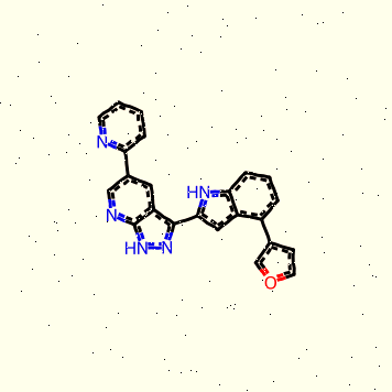 c1ccc(-c2cnc3[nH]nc(-c4cc5c(-c6ccoc6)cccc5[nH]4)c3c2)nc1